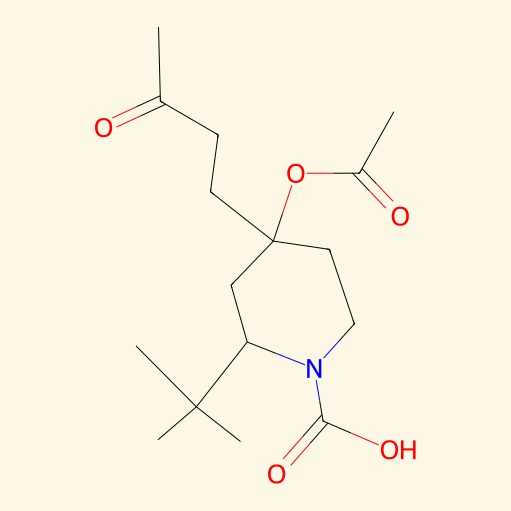 CC(=O)CCC1(OC(C)=O)CCN(C(=O)O)C(C(C)(C)C)C1